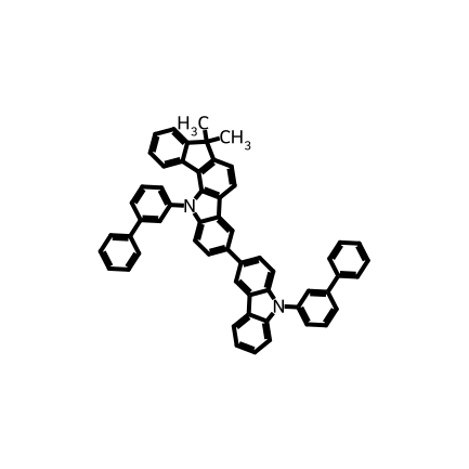 CC1(C)c2ccccc2-c2c1ccc1c3cc(-c4ccc5c(c4)c4ccccc4n5-c4cccc(-c5ccccc5)c4)ccc3n(-c3cccc(-c4ccccc4)c3)c21